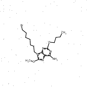 CCCCOc1nc(N)c2nc(OC)n(CCCCCCCBr)c2n1